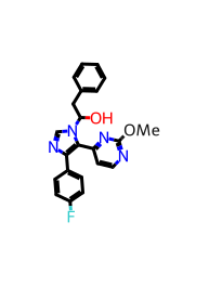 COc1nccc(-c2c(-c3ccc(F)cc3)ncn2C(O)Cc2ccccc2)n1